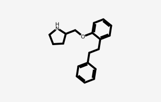 c1ccc(CCc2ccccc2OCC2CCCN2)cc1